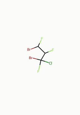 FC(Br)C(F)C(F)(Cl)Br